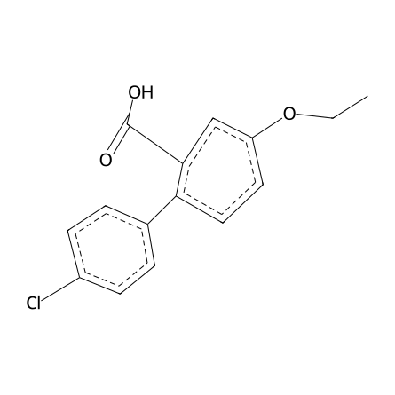 CCOc1ccc(-c2ccc(Cl)cc2)c(C(=O)O)c1